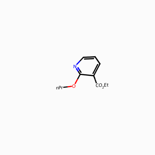 CCCOc1ncccc1C(=O)OCC